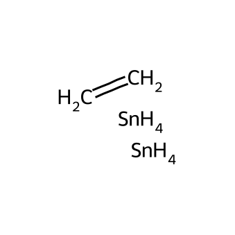 C=C.[SnH4].[SnH4]